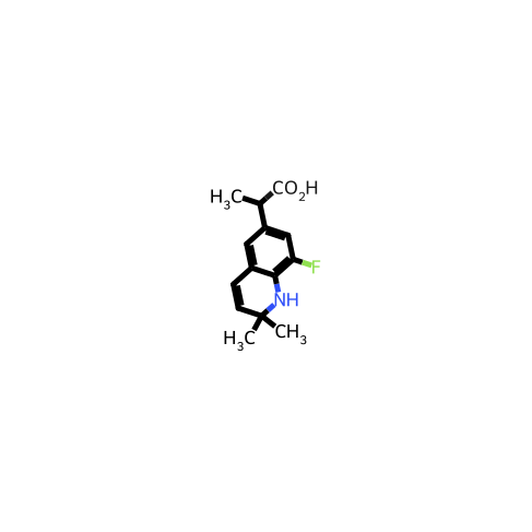 CC(C(=O)O)c1cc(F)c2c(c1)C=CC(C)(C)N2